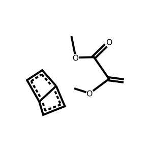 C=C(OC)C(=O)OC.c1cc2ccc1-2